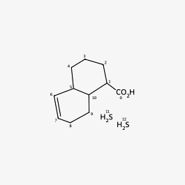 O=C(O)C1CCCC2C=CCCC21.S.S